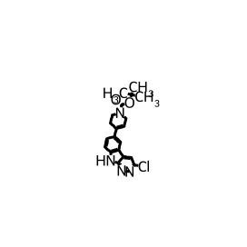 CC(C)(C)OC(=O)N1CC=C(c2ccc3[nH]c4nnc(Cl)cc4c3c2)CC1